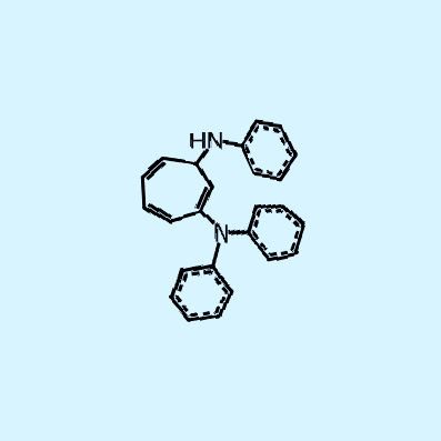 C1=CC(N(c2ccccc2)c2ccccc2)=CC(Nc2ccccc2)C=C1